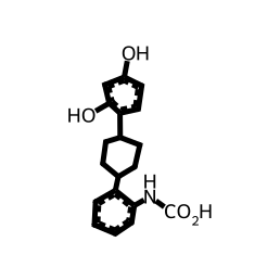 O=C(O)Nc1ccccc1C1CCC(c2ccc(O)cc2O)CC1